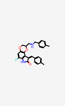 Cc1ccc(C=C2C(=O)Nc3c(F)cc4c(c32)OC(CNCc2ccc(C)cc2)CO4)cc1